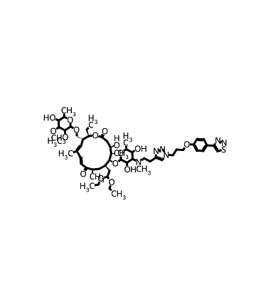 CCOC(C[C@H]1C[C@@H](C)C(=O)/C=C/C(C)=C/[C@H](COC2OC(C)C(O)C(OC)C2OC)[C@@H](CC)OC(=O)C[C@@H](O)[C@H](C)[C@H]1OC1OC(C)C(O)C(N(C)CCc2cn(CCCOc3ccc(-c4csnn4)cc3)nn2)C1O)OCC